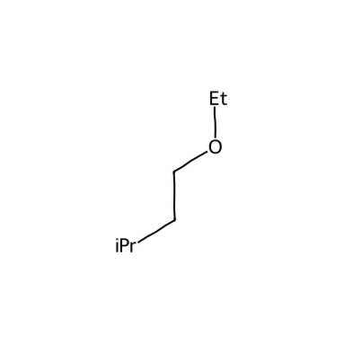 CCOCCC(C)C